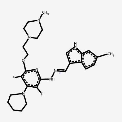 Cc1ccc2c(/C=N/Nc3nc(OCCN4CCN(C)CC4)c(F)c(N4CCCCC4)c3F)c[nH]c2c1